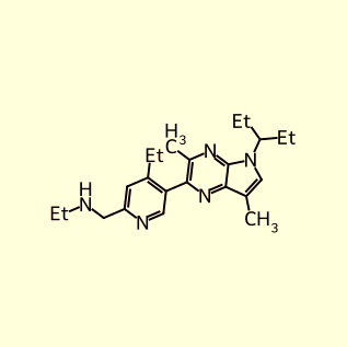 CCNCc1cc(CC)c(-c2nc3c(C)cn(C(CC)CC)c3nc2C)cn1